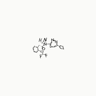 NN(C(=O)Cc1ccccc1OC(F)F)c1ccc(Cl)nn1